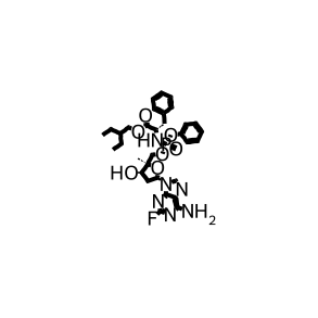 CCC(CC)COC(=O)[C@H](Cc1ccccc1)NP(=O)(OC[C@@]1(C)O[C@@H](n2cnc3c(N)nc(F)nc32)C[C@@H]1O)Oc1ccccc1